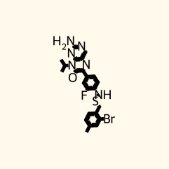 Cc1ccc(CSNc2ccc(-c3nc4cnc(N)nc4n(C(C)C)c3=O)cc2F)c(Br)c1